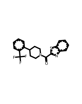 O=C(c1nc2ccccc2s1)N1CCC(c2ccccc2C(F)(F)F)CC1